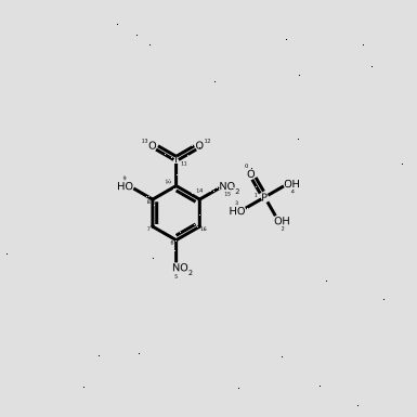 O=P(O)(O)O.O=[N+]([O-])c1cc(O)c(I(=O)=O)c([N+](=O)[O-])c1